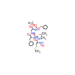 COC(=O)[C@H](CNC(=O)[C@H](Cc1ccccc1)NC(=O)[C@H](CC(C)C)NC(=O)[C@H](CCSC)NC=O)NC(=O)OCc1ccccc1